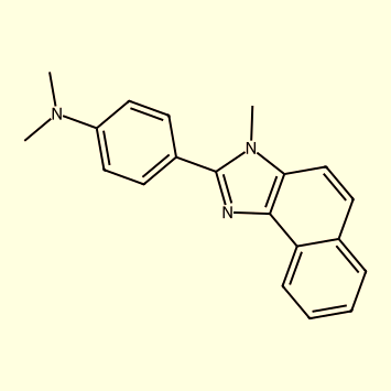 CN(C)c1ccc(-c2nc3c4ccccc4ccc3n2C)cc1